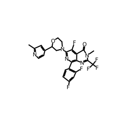 Cc1cc(C2CN(c3nc(-c4ccc(F)cc4F)c4nc(C(F)(F)F)n(C)c(=O)c4c3F)CCO2)ccn1